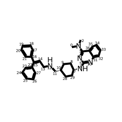 CN(C)c1nc(N[C@H]2CC[C@@H](CNCC=C(c3ccccc3)c3ccccc3)CC2)nc2ccccc12